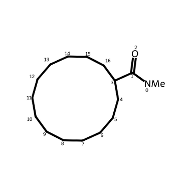 CNC(=O)C1CCCCCCCCCCCCC1